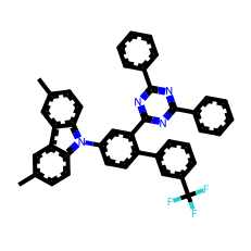 Cc1ccc2c(c1)c1cc(C)ccc1n2-c1ccc(-c2cccc(C(F)(F)F)c2)c(-c2nc(-c3ccccc3)nc(-c3ccccc3)n2)c1